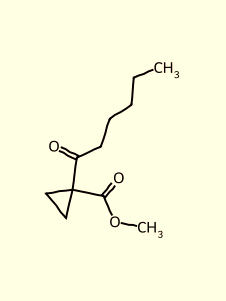 CCCCCC(=O)C1(C(=O)OC)CC1